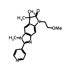 COCCN1C(=O)C(C)(C)c2cc3c(cc21)nc(-c1ccncc1)n3C